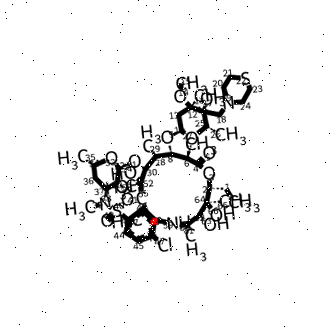 CC[C@H]1OC(=O)[C@H](C)[C@@H](O[C@H]2C[C@@](C)(OC)[C@](O)(CN3CCSCC3)[C@H](C)O2)[C@H](C)[C@@H](O[C@@H]2O[C@H](C)C[C@H](N(C)S(=O)(=O)c3ccc(Cl)cc3)[C@H]2O)[C@](C)(O)C[C@@H](C)CN[C@H](C)[C@@H](O)[C@]1(C)O